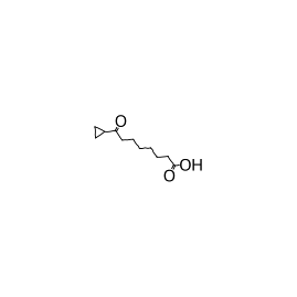 O=C(O)CCCCCCC(=O)C1CC1